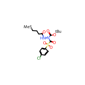 CSCCCC(=O)NN(C(=O)OC(C)(C)C)C(=O)S(=O)(=O)c1ccc(Cl)cc1